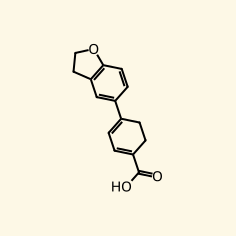 O=C(O)C1=CC=C(c2ccc3c(c2)CCO3)CC1